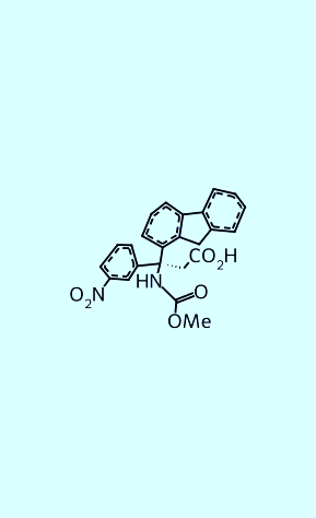 COC(=O)N[C@@](CC(=O)O)(c1cccc([N+](=O)[O-])c1)c1cccc2c1Cc1ccccc1-2